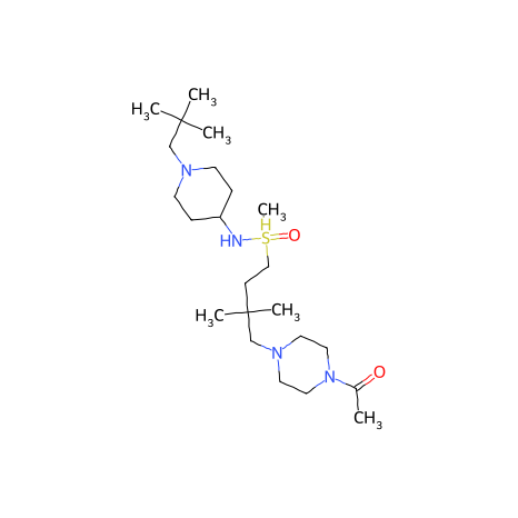 CC(=O)N1CCN(CC(C)(C)CC[SH](C)(=O)NC2CCN(CC(C)(C)C)CC2)CC1